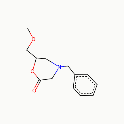 COCC1CN(Cc2ccccc2)CC(=O)O1